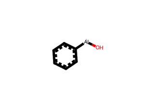 [OH][Al][c]1ccccc1